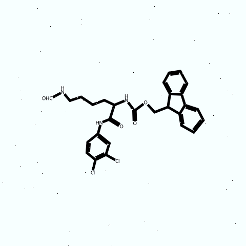 O=CNCCCCC(NC(=O)OCC1c2ccccc2-c2ccccc21)C(=O)Nc1ccc(Cl)c(Cl)c1